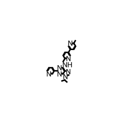 Cc1ccc(-c2ccc(CNc3nc(-c4cccnc4)nc4c3ncn4C(C)C)nc2)cn1